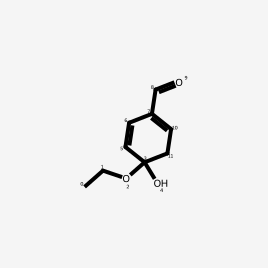 CCOC1(O)C=CC(C=O)=CC1